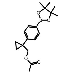 CC(=O)OCC1(c2ccc(B3OC(C)(C)C(C)(C)O3)cc2)CC1